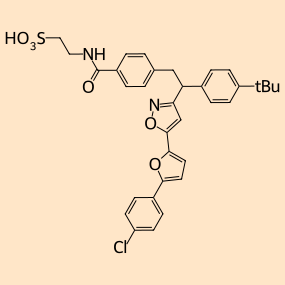 CC(C)(C)c1ccc(C(Cc2ccc(C(=O)NCCS(=O)(=O)O)cc2)c2cc(-c3ccc(-c4ccc(Cl)cc4)o3)on2)cc1